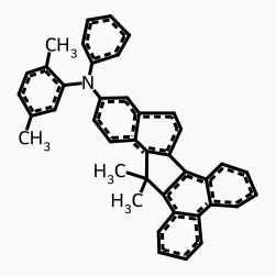 Cc1ccc(C)c(N(c2ccccc2)c2ccc3c4c(ccc3c2)-c2c(c3ccccc3c3ccccc23)C4(C)C)c1